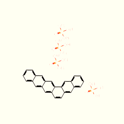 O=P(O)(O)O.O=P(O)(O)O.O=P(O)(O)O.O=P(O)(O)O.c1ccc2cc3cc4c(ccc5cc6ccccc6cc54)cc3cc2c1